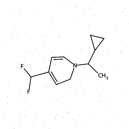 CC(C1CC1)N1C=CC(C(F)F)=CC1